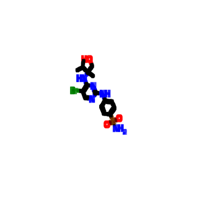 CC(C)C(C)(CO)Nc1nc(Nc2ccc(S(N)(=O)=O)cc2)ncc1Br